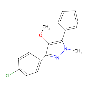 COc1c(-c2ccc(Cl)cc2)nn(C)c1-c1ccccc1